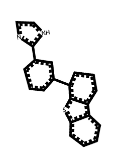 c1cc(-c2ncc[nH]2)cc(-c2cccc3c2sc2ccccc23)c1